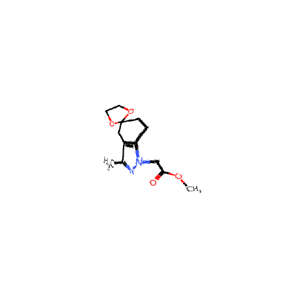 COC(=O)Cn1nc(C)c2c1CCC1(C2)OCCO1